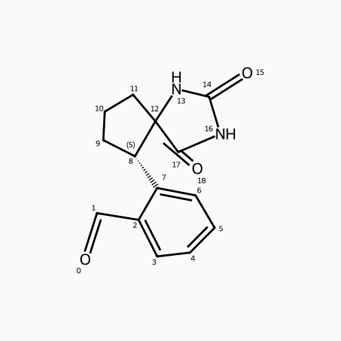 O=Cc1ccccc1[C@@H]1CCCC12NC(=O)NC2=O